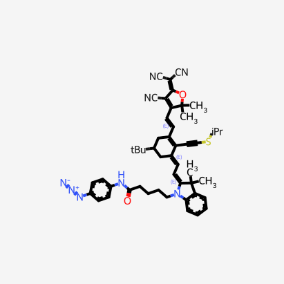 CC(C)SC#CC1=C(/C=C/C2=C(C#N)C(=C(C#N)C#N)OC2(C)C)CC(C(C)(C)C)C/C1=C\C=C1\N(CCCCC(=O)Nc2ccc(N=[N+]=[N-])cc2)c2ccccc2C1(C)C